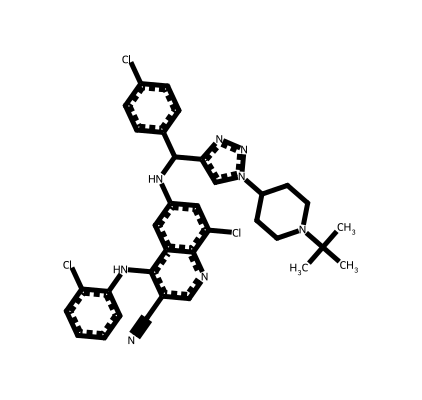 CC(C)(C)N1CCC(n2cc(C(Nc3cc(Cl)c4ncc(C#N)c(Nc5ccccc5Cl)c4c3)c3ccc(Cl)cc3)nn2)CC1